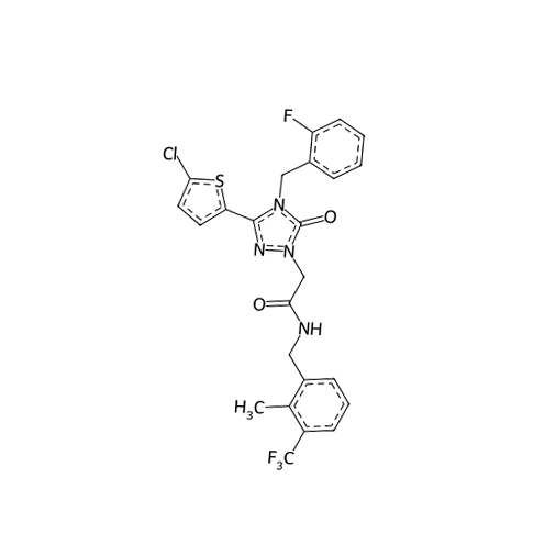 Cc1c(CNC(=O)Cn2nc(-c3ccc(Cl)s3)n(Cc3ccccc3F)c2=O)cccc1C(F)(F)F